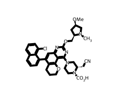 CO[C@@H]1C[C@H](COc2nc(N3CCN(C(=O)O)[C@@H](CC#N)C3)c3c4c(c(-c5cccc6cccc(Cl)c56)cc3n2)CCCO4)N(C)C1